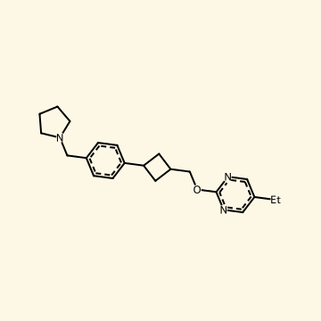 CCc1cnc(OCC2CC(c3ccc(CN4CCCC4)cc3)C2)nc1